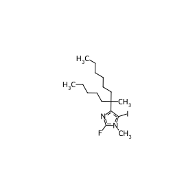 CCCCCCC(C)(CCCCC)c1nc(F)n(C)c1I